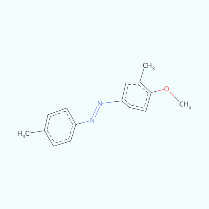 COc1ccc(/N=N/c2ccc(C)cc2)cc1C